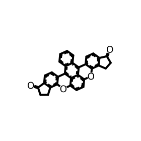 O=C1CCc2c1ccc1c2Oc2ccc3c4c(c5ccccc5c-1c24)-c1ccc2c(c1O3)CCC2=O